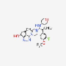 C[C@@H]1C[C@@H](O)c2ncnc(N3CCN(C(NC4CCOCC4)C(C=O)c4ccc(OC(F)(F)F)c(F)c4)CC3)c21